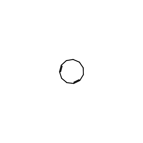 [CH]1/C=C\CCCCC/C=C\C1